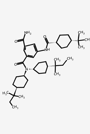 CCC(C)(C)[C@H]1CC[C@@H](N(C(=O)c2cc(NC(=O)[C@H]3CC[C@@H](C(C)(C)C)CC3)cc(C(N)=O)c2)[C@H]2CC[C@@H](C(C)(C)CC)CC2)CC1